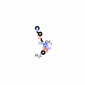 Cc1ccc(S(=O)(=O)Nc2nc(NCCCOc3cccc(CN4CCCCC4)c3)n(C)n2)cc1